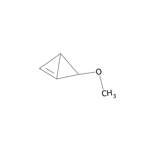 COC1C2=CC21